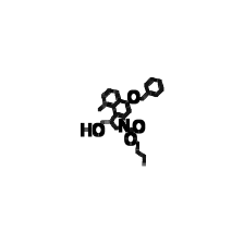 CCCCOC(=O)N1CC(CO)c2c1cc(OCc1ccccc1)c1cccc(C)c21